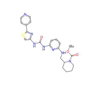 CC(C)(C)OC(=O)N1CCCCC1CNc1cccc(NC(=O)Nc2csc(-c3ccncc3)n2)n1